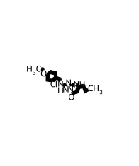 CCCc1cc(=O)n2nc(NCc3ccc(OCC)cc3Cl)nc2[nH]1